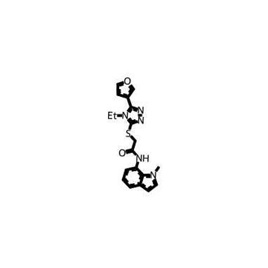 CCn1c(SCC(=O)Nc2cccc3ccn(C)c23)nnc1-c1ccoc1